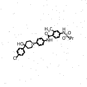 Cc1cc(NS(=O)(=O)C(C)C)ccc1C(=O)Nc1ccc(N2CCC(O)(c3ccc(Cl)cc3)CC2)cc1